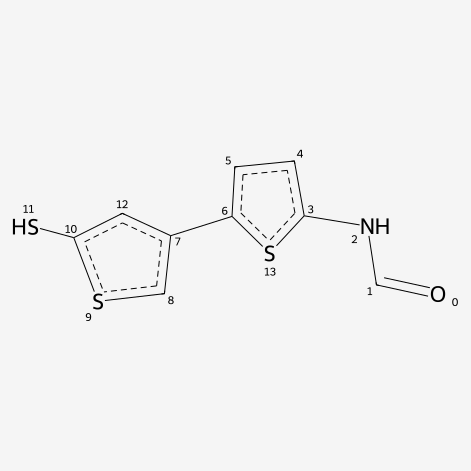 O=CNc1ccc(-c2csc(S)c2)s1